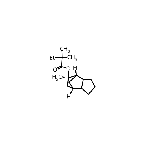 CCC(C)(C)C(=O)O[C@]1(C)C[C@@H]2C[C@H]1C1CCCC12